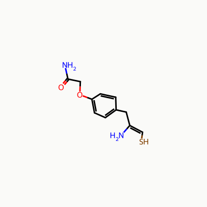 NC(=O)COc1ccc(C/C(N)=C/S)cc1